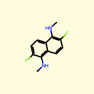 CNc1c(F)ccc2c(NC)c(F)ccc12